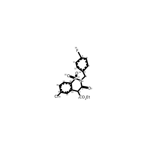 CCOC(=O)C1C(=O)N(Cc2ccc(F)cc2)S(=O)(=O)c2ccc(Cl)cc21